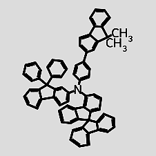 CC1(C)c2ccccc2-c2ccc(-c3ccc(N(c4ccc5c(c4)C(c4ccccc4)(c4ccccc4)c4ccccc4-5)c4cccc5c4-c4ccccc4C54c5ccccc5-c5ccccc54)cc3)cc21